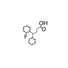 O=C(O)CCC(c1ccccc1)c1ccccc1F